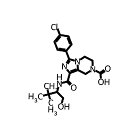 CC(C)(C)C(CO)NC(=O)c1nc(-c2ccc(Cl)cc2)n2c1CN(C(=O)O)CC2